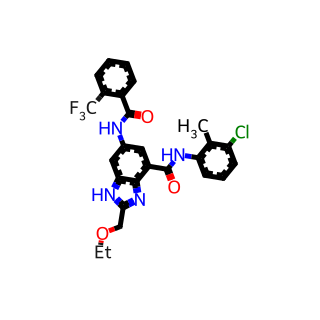 CCOCc1nc2c(C(=O)Nc3cccc(Cl)c3C)cc(NC(=O)c3ccccc3C(F)(F)F)cc2[nH]1